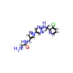 CC(C)(Nc1ncc(-n2cc(CNC(=O)CN)cn2)cn1)c1ncccc1Cl